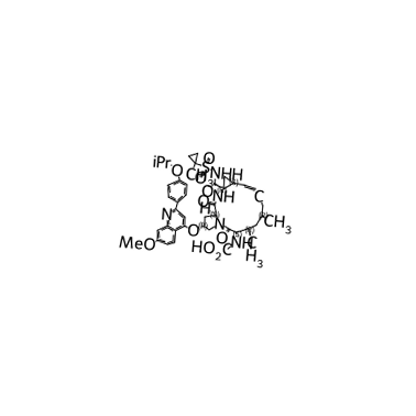 COc1ccc2c(O[C@@H]3C[C@H]4C(=O)N[C@]5(C(=O)NS(=O)(=O)C6(C)CC6)C[C@H]5C=CCC[C@@H](C)C[C@@H](C)[C@H](NC(=O)O)C(=O)N4C3)cc(-c3ccc(OC(C)C)cc3)nc2c1